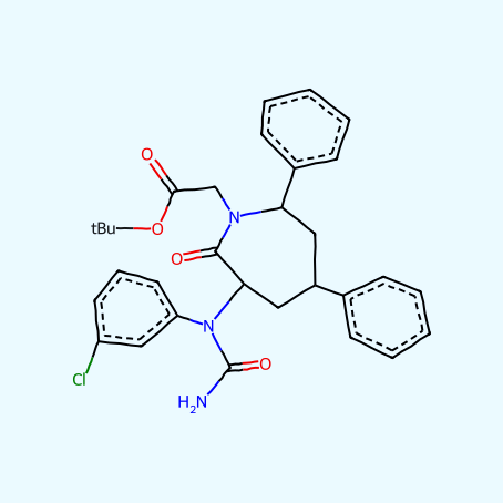 CC(C)(C)OC(=O)CN1C(=O)C(N(C(N)=O)c2cccc(Cl)c2)CC(c2ccccc2)CC1c1ccccc1